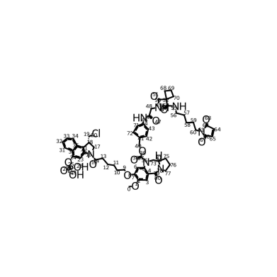 COc1cc2c(cc1OCCCCCC(=O)N1C[C@@H](CCl)c3c1cc(OP(=O)(O)O)c1ccccc31)N(C(=O)OCc1ccc(NC(=O)CNC(=O)C3(C(=O)NCCCCCN4C(=O)C=CC4=O)CCC3)cc1)C[C@@H]1CCCN1C2=O